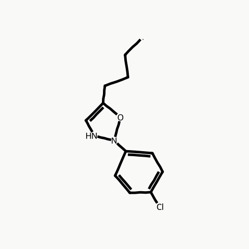 [CH2]CCCC1=CNN(c2ccc(Cl)cc2)O1